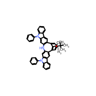 CC(C)c1c2cc(C(C)(C)C)cc1-c1cc3c4ccccc4n(-c4ccccc4)c3cc1Nc1cc3c(cc1-2)c1ccccc1n3-c1ccccc1